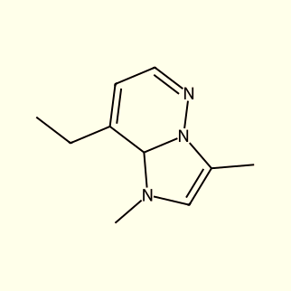 CCC1=CC=NN2C(C)=CN(C)C12